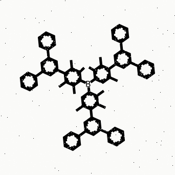 Cc1cc(B(c2cc(C)c(-c3cc(-c4ccccc4)cc(-c4ccccc4)c3)c(C)c2C)c2c(C)c(C)c(-c3cc(-c4ccccc4)cc(-c4ccccc4)c3)c(C)c2C)c(C)c(C)c1-c1cc(-c2ccccc2)cc(-c2ccccc2)c1